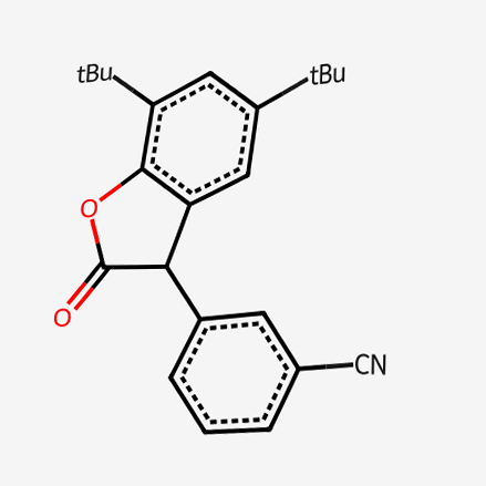 CC(C)(C)c1cc2c(c(C(C)(C)C)c1)OC(=O)C2c1cccc(C#N)c1